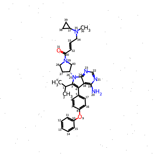 CC(C)c1c(-c2ccc(Oc3ccccc3)cc2)c2c(N)ncnc2n1[C@@H]1CCN(C(=O)C=CCN(C)C2CC2)C1